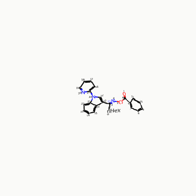 CCCCCC/C(=N\OC(=O)c1ccccc1)c1cn(-c2ccccn2)c2ccccc12